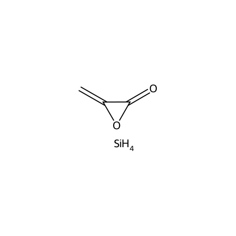 C=C1OC1=O.[SiH4]